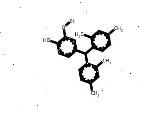 CCOc1cc(C(c2ccc(C)cc2C)c2ccc(C)cc2C)ccc1O